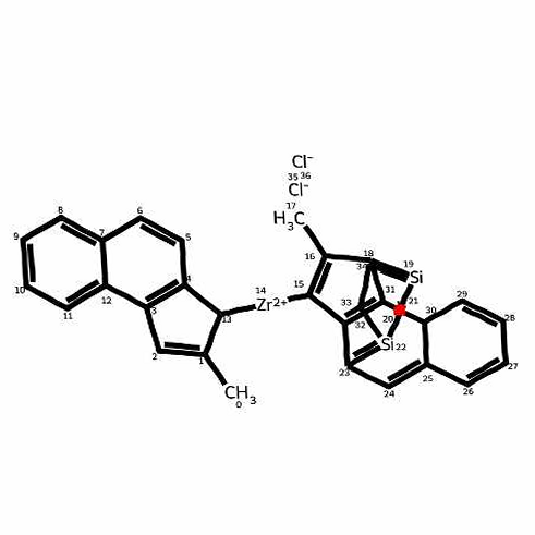 CC1=Cc2c(ccc3ccccc23)[CH]1[Zr+2][C]1=C(C)/C2=[Si]3C=C/[Si](=C4\C=C5C=CC=CC5C2=C14)CC/3.[Cl-].[Cl-]